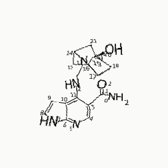 NC(=O)c1cnc2[nH]ccc2c1NN1C2CC3C1C[C@@]3(O)C2